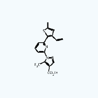 C=Cc1cc(C)sc1-c1cccc(-n2ncc(C(=O)OCC)c2C(F)(F)F)n1